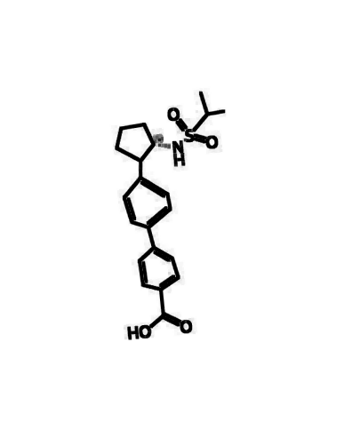 CC(C)S(=O)(=O)N[C@H]1CCCC1c1ccc(-c2ccc(C(=O)O)cc2)cc1